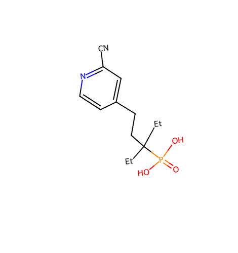 CCC(CC)(CCc1ccnc(C#N)c1)P(=O)(O)O